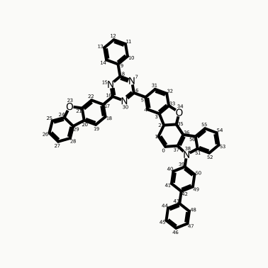 C1=CC2c3cc(-c4nc(-c5ccccc5)nc(-c5ccc6c(c5)oc5ccccc56)n4)ccc3OC2c2c1n(-c1ccc(-c3ccccc3)cc1)c1ccccc21